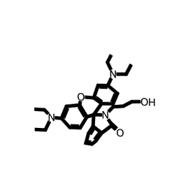 CCN(CC)c1ccc2c(c1)Oc1cc(N(CC)CC)ccc1C21c2ccccc2C(=O)N1CCCO